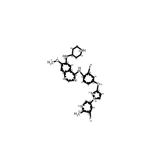 COc1cc2ncnc(Nc3ccc(Oc4ccn(-c5cnc(C)c(F)c5)n4)cc3F)c2cc1NC1CCNCC1